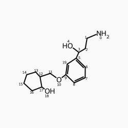 NCCC(O)c1cccc(OCC2CCCCC2O)c1